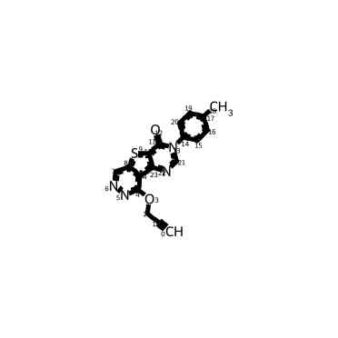 C#CCOc1nncc2sc3c(=O)n(-c4ccc(C)cc4)cnc3c12